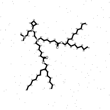 CCCCCCCCC(CCCCCC)COC(=O)CCCCCN(CCCCCC(=O)OCC(CCCCCC)CCCCCCCC)CCN(CCN(C)C)C1CCC1